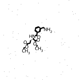 CCOC(=O)CC[C@H](NC(=O)c1cccc(CN)c1)C(=O)OCC